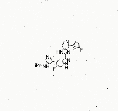 CC(C)Nc1cncc(-c2cc3c(-c4nc5c(-c6ccc(F)s6)nccc5[nH]4)n[nH]c3cc2F)c1